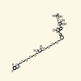 N/C(=C\N(N)CCOCCOCCOCCOCCC(=O)Oc1c(F)cc(F)cc1F)COCCOCCOCCOCCN1CCCC2(C1)CN(c1nc(Cl)nc3c1cnn3[C@@H]1O[C@H](COCP(=O)(O)O)[C@@H](O)[C@H]1O)C2